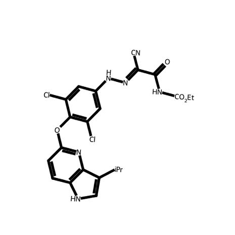 CCOC(=O)NC(=O)/C(C#N)=N/Nc1cc(Cl)c(Oc2ccc3[nH]cc(C(C)C)c3n2)c(Cl)c1